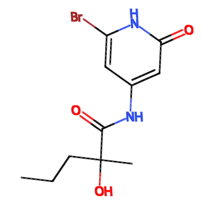 CCCC(C)(O)C(=O)Nc1cc(Br)[nH]c(=O)c1